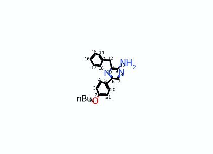 CCCCOc1ccc(-c2cnc(N)c(Cc3ccccc3)n2)cc1